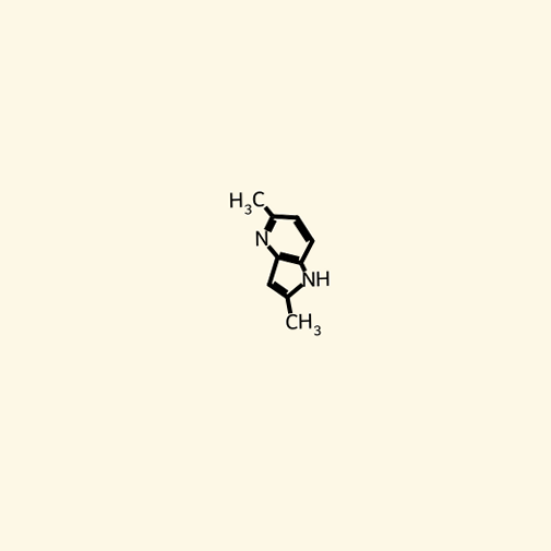 Cc1ccc2[nH]c(C)cc2n1